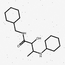 CC(NC1CCCCC1)C(O)C(=O)NCC1CCCCC1